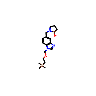 CS(C)(C)CCOCn1cnc2cc(CN3CCC[S+]3[O-])ccc21